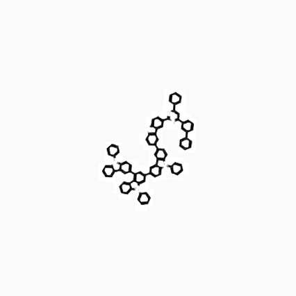 c1ccc(-c2cccc(-c3cc(-c4ccccc4)nc(-c4ccc5sc6ccc(-c7ccc8c(c7)c7cc(-c9cc(-c%10ccc%11c(c%10)c%10ccccc%10n%11-c%10ccccc%10)c%10c%11ccccc%11n(-c%11ccccc%11)c%10c9)ccc7n8-c7ccccc7)cc6c5c4)n3)c2)cc1